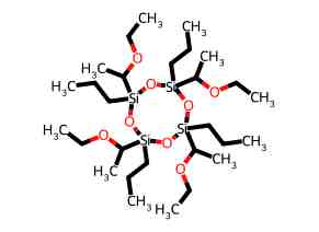 CCC[Si]1(C(C)OCC)O[Si](CCC)(C(C)OCC)O[Si](CCC)(C(C)OCC)O[Si](CCC)(C(C)OCC)O1